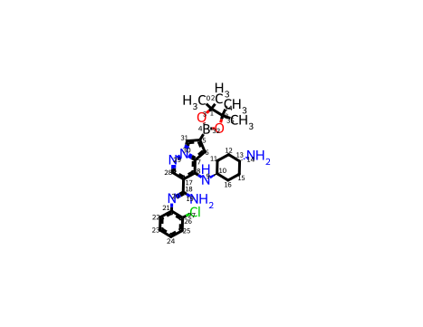 CC1(C)OB(c2cc3c(N[C@H]4CC[C@H](N)CC4)c(/C(N)=N/c4ccccc4Cl)cnn3c2)OC1(C)C